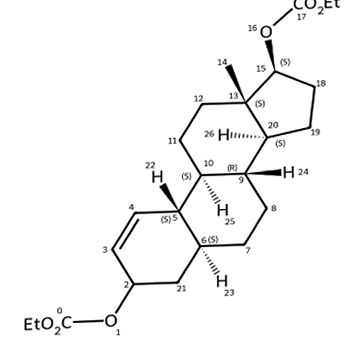 CCOC(=O)OC1C=C[C@H]2[C@@H](CC[C@@H]3[C@@H]2CC[C@]2(C)[C@@H](OC(=O)OCC)CC[C@@H]32)C1